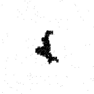 N[C@H](CF)[C@H]1CC[C@H](C(=O)N2CC[C@H](c3ccccc3)[C@H]2C(=O)Nc2ccc3oc(C(=O)OCCCO)cc3c2)CC1